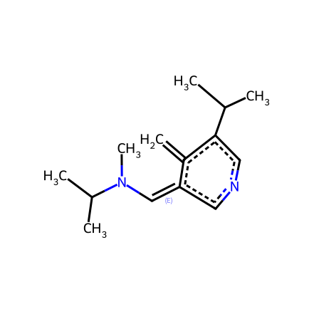 C=c1c(C(C)C)cnc/c1=C/N(C)C(C)C